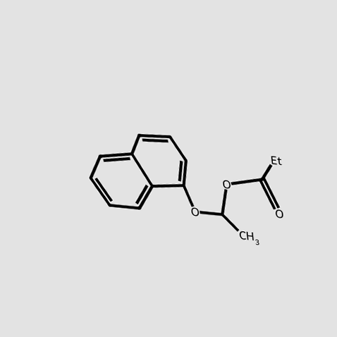 CCC(=O)OC(C)Oc1cccc2ccccc12